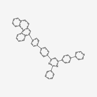 c1ccc(-c2nc(-c3ccc(-c4ccncc4)cc3)cc(-c3ccc(-c4ccc(-c5cc6ccc7ccccc7c6c6ccccc56)cc4)cc3)n2)cc1